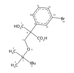 CC(C)(C)[Si](C)(C)OCC(C(=O)O)(C(=O)O)c1cccc(Br)c1